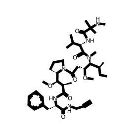 C#CCNC(=O)[C@H](Cc1ccccc1)NC(=O)[C@H](C)[C@@H](OC)[C@@H]1CCCN1C(=O)C[C@@H](OC)[C@H]([C@@H](C)CC)N(C)C(=O)[C@@H](NC(=O)C(C)(C)NC)C(C)C